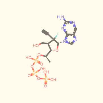 C#CC1(F)C(CO)[C@@H]([C@@H](C)OP(=O)(O)OP(=O)(O)OP(=O)(O)O)O[C@H]1n1cnc2cnc(N)nc21